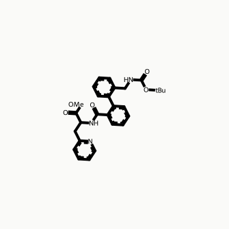 COC(=O)C(Cc1ccccn1)NC(=O)c1ccccc1-c1ccccc1CNC(=O)OC(C)(C)C